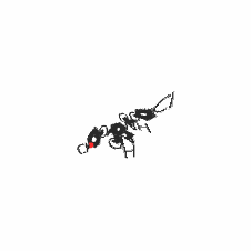 O=C(COc1ccc(Cl)cc1)Nc1ccc(COc2ccc(Cl)cc2)c2c1CNC2=O